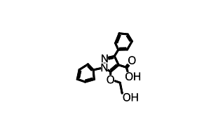 O=C(O)c1c(-c2ccccc2)nn(-c2ccccc2)c1OCCO